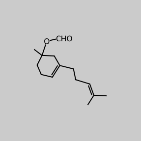 CC(C)=CCCC1=CCCC(C)(OC=O)C1